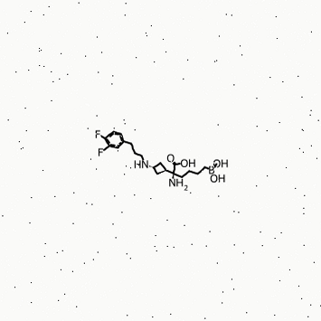 N[C@](CCCCB(O)O)(C(=O)O)[C@H]1C[C@H](NCCCc2ccc(F)c(F)c2)C1